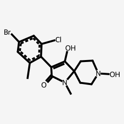 Cc1cc(Br)cc(Cl)c1C1=C(O)C2(CCN(O)CC2)N(C)C1=O